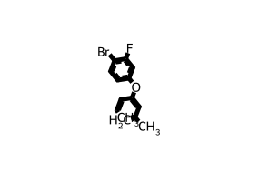 C=C(C)/C=C(\C=C/C)Oc1ccc(Br)c(F)c1